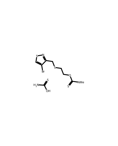 CNC(=S)OCCSCc1nscc1Br.NC(O)=S